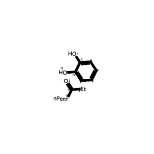 CCCCCC(=O)CC.Oc1ccccc1O